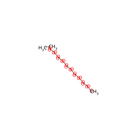 CCCCC(CC)COC(=O)CCCCCOC(=O)CCCCCOC(=O)CCCCCOC(=O)CCCCCOC(=O)CCCCCOC(=O)CCCCCOC(=O)CCCCCOC(=O)CCCCCOC(=O)CCCCCOC(=O)CCCCCOC